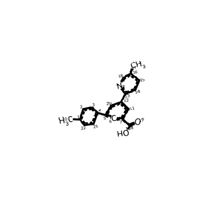 Cc1ccc(-c2cc(C(=O)O)cc(-c3ccc(C)cn3)c2)cc1